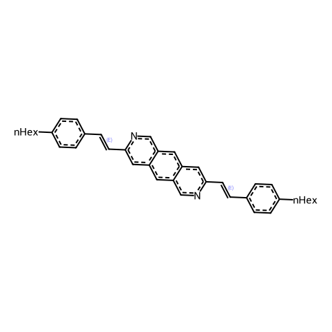 CCCCCCc1ccc(/C=C/c2cc3cc4cnc(/C=C/c5ccc(CCCCCC)cc5)cc4cc3cn2)cc1